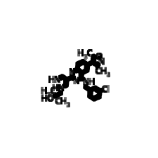 Cc1noc(C)c1-c1ccc2nc(/C(C=N)=C/NCC(C)(C)O)nc(NCc3cccc(Cl)c3)c2c1